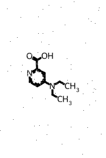 CCN(CC)c1ccnc(C(=O)O)c1